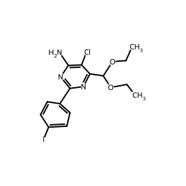 CCOC(OCC)c1nc(-c2ccc(I)cc2)nc(N)c1Cl